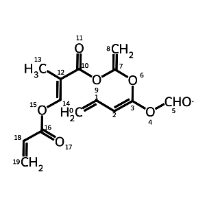 C=CC=C(O[C]=O)OC(=C)OC(=O)C(C)=COC(=O)C=C